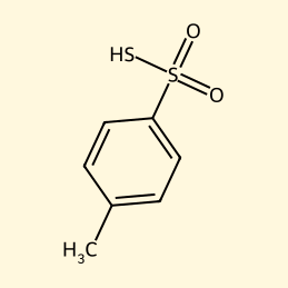 Cc1ccc(S(=O)(=O)S)cc1